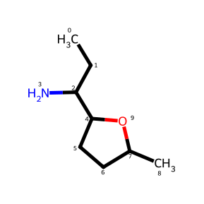 CCC(N)C1CCC(C)O1